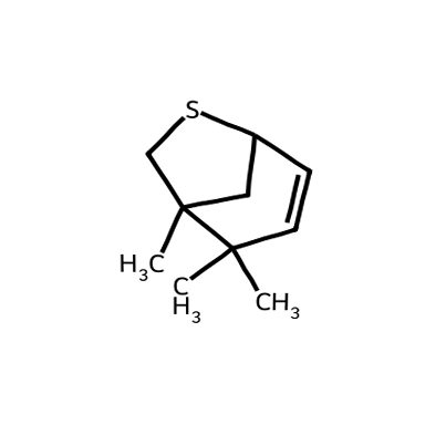 CC1(C)C=CC2CC1(C)CS2